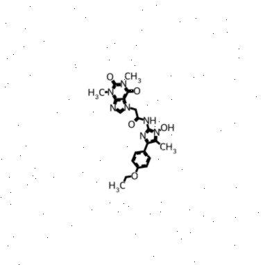 CCOc1ccc(-c2nc(NC(=O)Cn3cnc4c3c(=O)n(C)c(=O)n4C)n(O)c2C)cc1